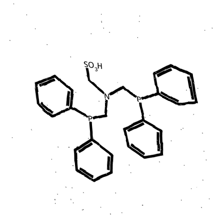 O=S(=O)(O)CN(CP(c1ccccc1)c1ccccc1)CP(c1ccccc1)c1ccccc1